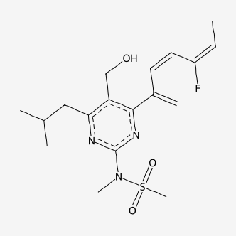 C=C(/C=C\C(F)=C/C)c1nc(N(C)S(C)(=O)=O)nc(CC(C)C)c1CO